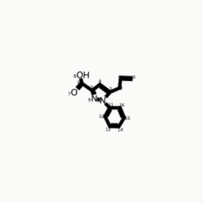 C=CCc1cc(C(=O)O)nn1-c1ccccc1